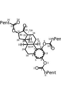 CCCCCC(=O)Oc1cc2c(c(OC(=O)CCCCC)c1)[C@H]1CC[C@]3(C)C(=O)[C@H](OC(=O)CCCCC)C[C@H]3[C@H]1CC2